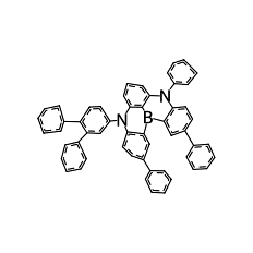 c1ccc(-c2ccc3c(c2)B2c4cc(-c5ccccc5)ccc4N(c4ccc(-c5ccccc5)c(-c5ccccc5)c4)c4cccc(c42)N3c2ccccc2)cc1